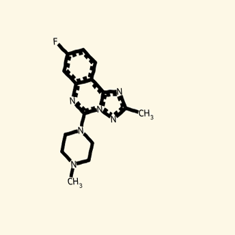 Cc1nc2c3ccc(F)cc3nc(N3CCN(C)CC3)n2n1